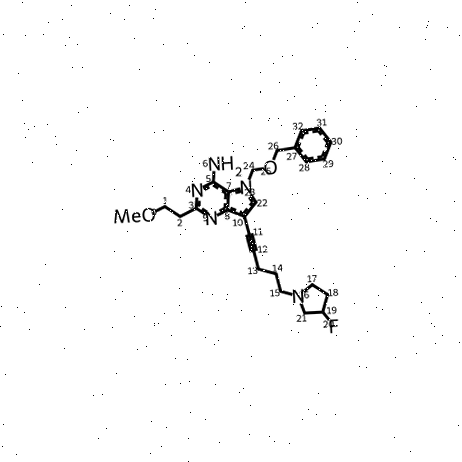 COCCc1nc(N)c2c(n1)c(C#CCCCN1CCC(F)C1)cn2COCc1ccccc1